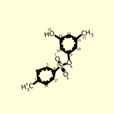 Cc1ccc(S(=O)(=O)Oc2cc(C)cc(O)c2)cc1